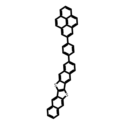 c1ccc2cc3c(cc2c1)sc1c2cc4ccc(-c5ccc(-c6cc7ccc8cccc9ccc(c6)c7c89)cc5)cc4cc2sc31